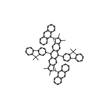 Cc1c(C)n(-c2c3ccccc3cc3ccccc23)c2cc3c(-c4ccc5c(c4)C(C)(C)c4ccccc4-5)c4cc5c(C)c(C)n(-c6c7ccccc7cc7ccccc67)c5cc4c(-c4ccc5c(c4)C(C)(C)c4ccccc4-5)c3cc12